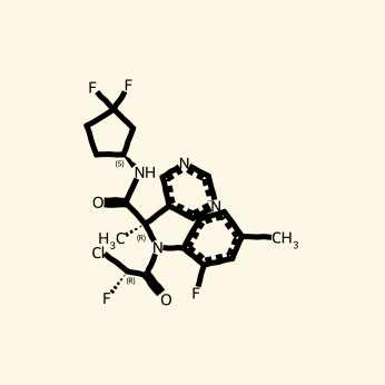 Cc1ccc(N(C(=O)[C@H](F)Cl)[C@@](C)(C(=O)N[C@H]2CCC(F)(F)C2)c2cncnc2)c(F)c1